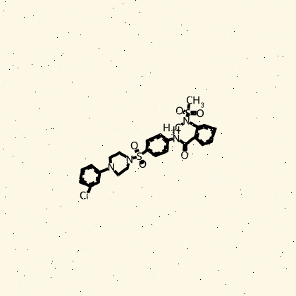 CN(c1ccccc1C(=O)Nc1ccc(S(=O)(=O)N2CCN(c3cccc(Cl)c3)CC2)cc1)S(C)(=O)=O